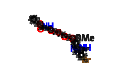 COc1cc2c(N[C@H](C)c3cccc(Br)c3)nc(C)nc2cc1OCCOCCOCCOCCNC(=O)OCc1ccccc1